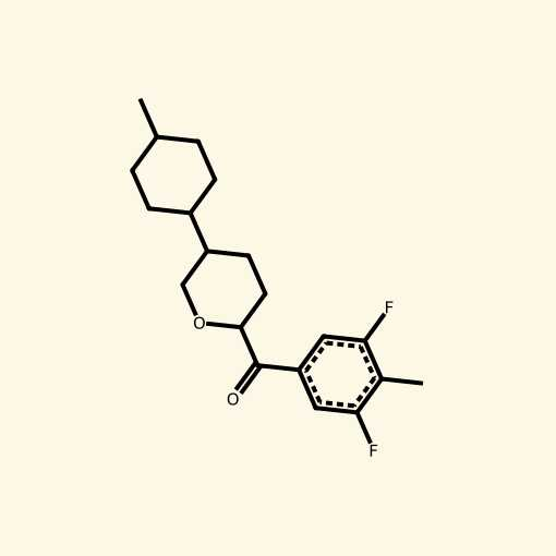 Cc1c(F)cc(C(=O)C2CCC(C3CCC(C)CC3)CO2)cc1F